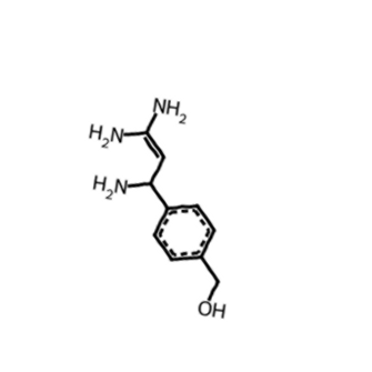 NC(N)=CC(N)c1ccc(CO)cc1